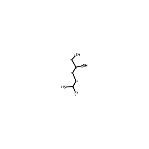 CCC(S)CCC(S)CS